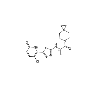 C[C@@H](Nc1nnc(-c2[nH]c(=O)ccc2Cl)o1)C(=O)N1CCC2(CC1)CC2